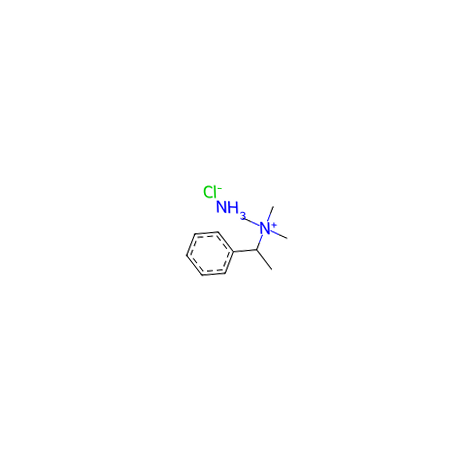 CC(c1ccccc1)[N+](C)(C)C.N.[Cl-]